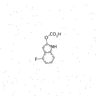 O=C(O)Oc1cc2c(F)cccc2[nH]1